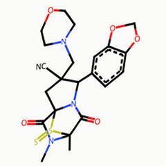 CN1C(=O)C23CC(C#N)(CN4CCOCC4)C(c4ccc5c(c4)OCO5)N2C(=O)C1(C)S3=S